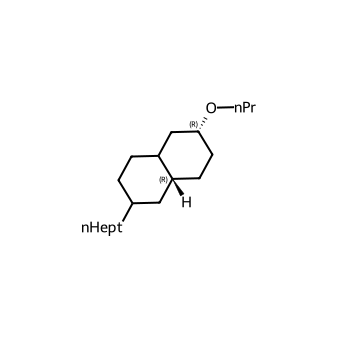 CCCCCCCC1CCC2C[C@H](OCCC)CC[C@@H]2C1